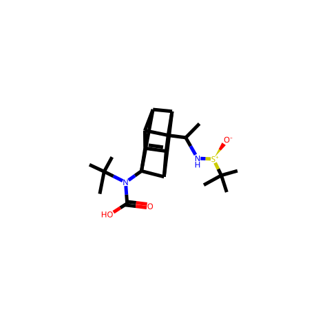 CC(N[S@@+]([O-])C(C)(C)C)C12C3=C4C1C1C2C3C41N(C(=O)O)C(C)(C)C